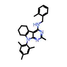 Cc1cc(C)c(-n2c3c(c4c(NCc5ccccc5C)nc(C)nc42)CCCC3)c(C)c1